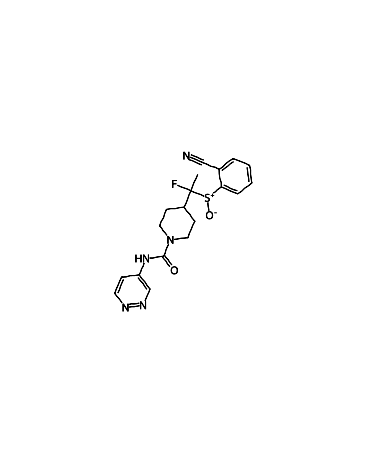 CC(F)(C1CCN(C(=O)Nc2ccnnc2)CC1)[S+]([O-])c1ccccc1C#N